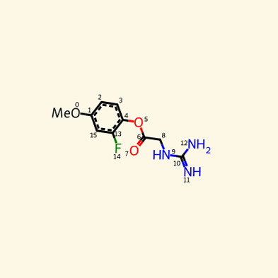 COc1ccc(OC(=O)CNC(=N)N)c(F)c1